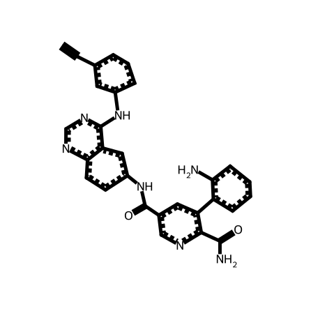 C#Cc1cccc(Nc2ncnc3ccc(NC(=O)c4cnc(C(N)=O)c(-c5ccccc5N)c4)cc23)c1